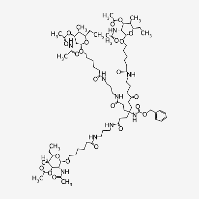 CC[C@H]1O[C@@H](OCCCCCC(=O)NCCCNC(=O)CCC(CCC(=O)CCCNC(=O)CCCCCO[C@@H]2O[C@H](CC)[C@H](C)[C@H](OC(C)=O)[C@H]2NC(C)=O)(CCC(=O)NCCCNC(=O)CCCCCO[C@@H]2O[C@H](CC)[C@H](C)[C@H](OC(C)=O)[C@H]2NC(C)=O)NC(=O)OCc2ccccc2)[C@H](NC(C)=O)[C@@H](OC(C)=O)[C@H]1C